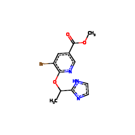 COC(=O)c1cnc(OC(C)c2ncc[nH]2)c(Br)c1